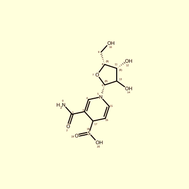 NC(=O)C1=CN([C@@H]2O[C@H](CO)[C@H](O)C2O)C=CC1S(=O)O